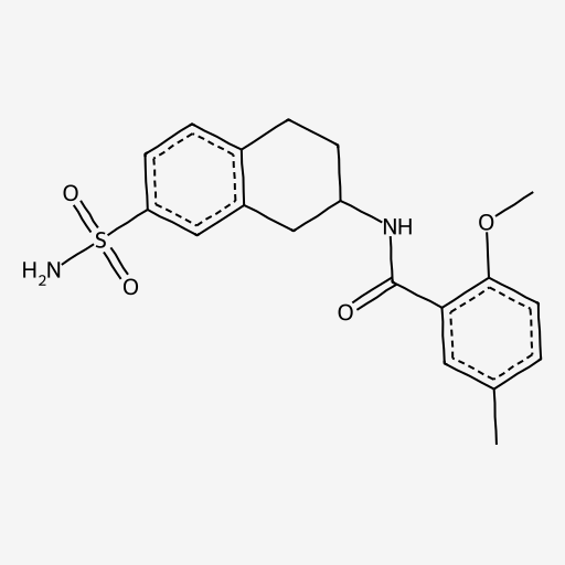 COc1ccc(C)cc1C(=O)NC1CCc2ccc(S(N)(=O)=O)cc2C1